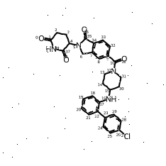 O=C1CCC(N2Cc3cc(C(=O)N4CCC(Nc5ccccc5-c5ccc(Cl)cc5)CC4)ccc3C2=O)C(=O)N1